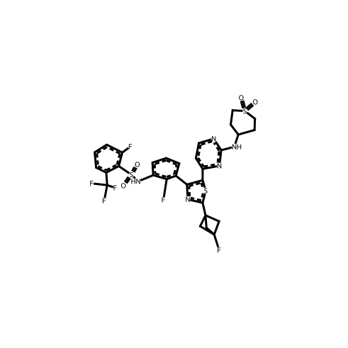 O=S1(=O)CCC(Nc2nccc(-c3sc(C45CC(F)(C4)C5)nc3-c3cccc(NS(=O)(=O)c4c(F)cccc4C(F)(F)F)c3F)n2)CC1